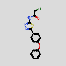 O=C(CCl)Nc1nnc(-c2ccc(Oc3ccccc3)cc2)s1